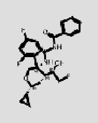 O=C(NC(=S)N[C@@]1(c2ccc(F)cc2F)CO[C@@H](C2CC2)C[C@H]1[C@@H](O)CF)c1ccccc1